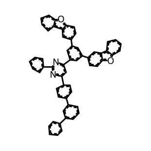 c1ccc(-c2cccc(-c3ccc(-c4cc(-c5cc(-c6ccc7oc8ccccc8c7c6)cc(-c6ccc7oc8ccccc8c7c6)c5)nc(-c5ccccc5)n4)cc3)c2)cc1